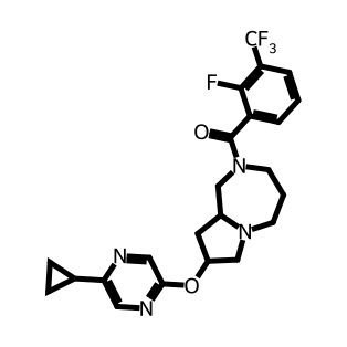 O=C(c1cccc(C(F)(F)F)c1F)N1CCCN2CC(Oc3cnc(C4CC4)cn3)CC2C1